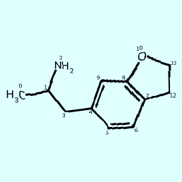 CC(N)Cc1ccc2c(c1)OCC2